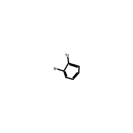 [3H]c1ccccc1Br